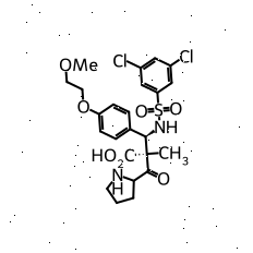 COCCOc1ccc([C@@H](NS(=O)(=O)c2cc(Cl)cc(Cl)c2)[C@](C)(C(=O)O)C(=O)C2CCCN2)cc1